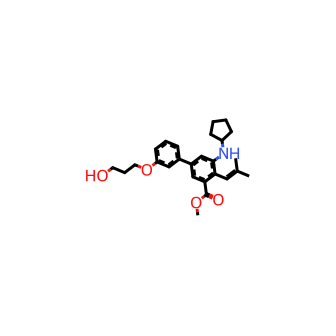 COC(=O)c1cc(-c2cccc(OCCCO)c2)cc(NC2CCCC2)c1C=C(C)C